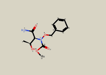 C[C@H](O)[C@@H](C(N)=O)N(OCc1ccccc1)C(=O)OC(C)(C)C